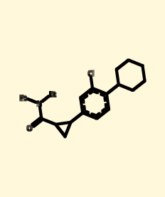 CCN(CC)C(=O)C1CC1c1ccc(C2CCCCC2)c(Cl)c1